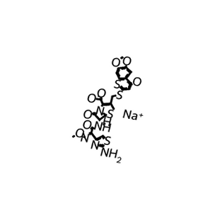 CO/N=C(\C(=O)N[C@@H]1C(=O)N2C(C(=O)[O-])=C(CSc3cc(=O)c4cc5c(cc4s3)OCO5)CS[C@@H]12)c1csc(N)n1.[Na+]